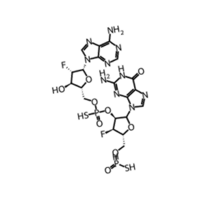 Nc1nc2c(ncn2C2O[C@H](CO[PH](=O)S)[C@@H](F)[C@H]2OP(=O)(S)OC[C@H]2O[C@@H](n3cnc4c(N)ncnc43)[C@@H](F)[C@@H]2O)c(=O)[nH]1